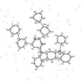 c1ccc(-c2cccc(-c3cc(-n4c5ccccc5c5cc6c7ccccc7n(-c7ccccc7)c6cc54)nc(-c4cccc(-c5ccccc5)c4)n3)c2)cc1